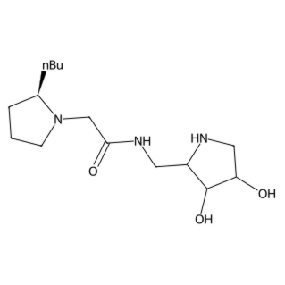 CCCC[C@@H]1CCCN1CC(=O)NCC1NCC(O)C1O